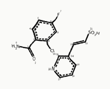 NC(=O)c1ccc(F)cc1Cl.O=S(=O)(O)C=Cc1cccnc1